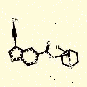 CC#Cc1coc2cnc(C(=O)N[C@H]3CN4CCC3CC4)cc12